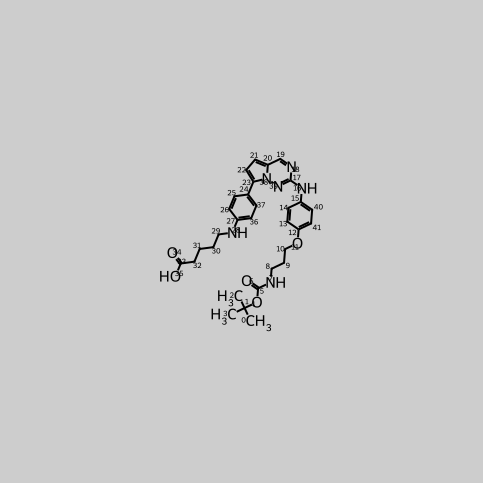 CC(C)(C)OC(=O)NCCCOc1ccc(Nc2ncc3ccc(-c4ccc(NCCCCC(=O)O)cc4)n3n2)cc1